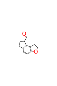 O=CC1CCc2ccc3c(c21)CCO3